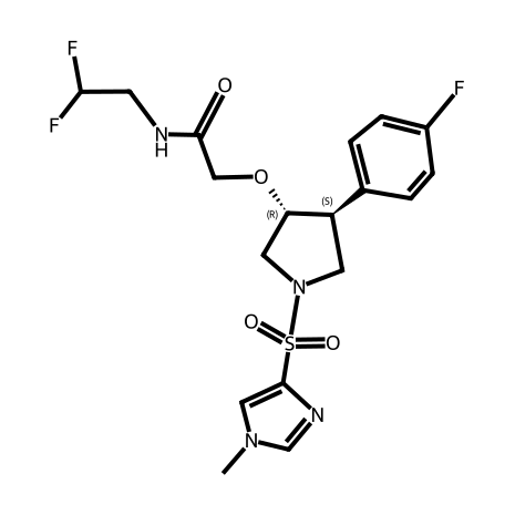 Cn1cnc(S(=O)(=O)N2C[C@H](OCC(=O)NCC(F)F)[C@@H](c3ccc(F)cc3)C2)c1